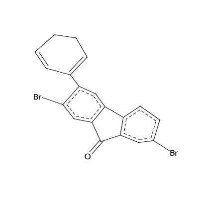 O=C1c2cc(Br)ccc2-c2cc(C3=CCCC=C3)c(Br)cc21